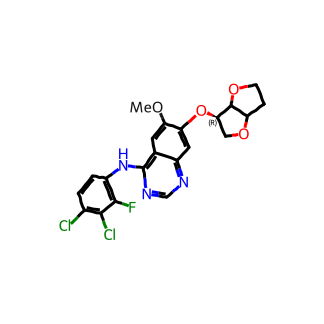 COc1cc2c(Nc3ccc(Cl)c(Cl)c3F)ncnc2cc1O[C@@H]1COC2CCOC21